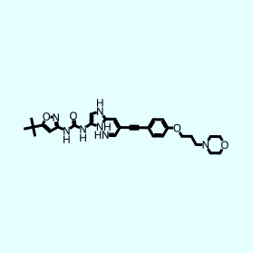 CC(C)(C)c1cc(NC(=O)NC2=CNC(/C=C(/C#Cc3ccc(OCCCN4CCOCC4)cc3)C=N)N2)no1